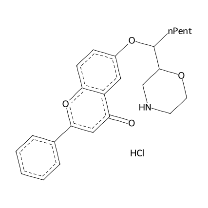 CCCCCC(Oc1ccc2oc(-c3ccccc3)cc(=O)c2c1)C1CNCCO1.Cl